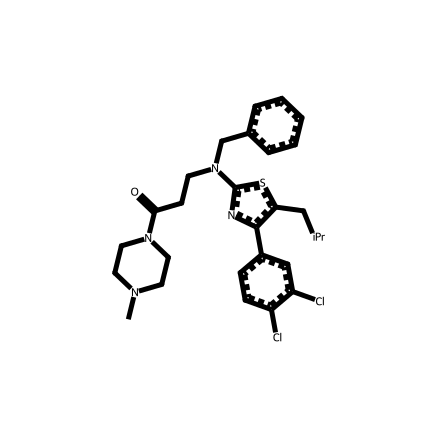 CC(C)Cc1sc(N(CCC(=O)N2CCN(C)CC2)Cc2ccccc2)nc1-c1ccc(Cl)c(Cl)c1